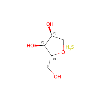 OC[C@H]1O[CH][C@H](O)[C@@H]1O.S